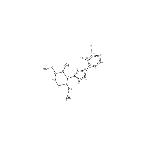 COC1COC(CO)C(O)C1n1cc(-c2cccc(F)c2F)nn1